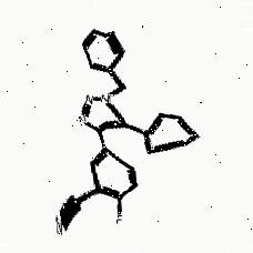 N#Cc1cc(-c2nnn(Cc3ccccc3)c2-c2ccccc2)ccc1F